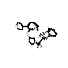 O=C(c1nc2ccccc2[nH]1)N1CCC(Oc2ncccc2C2=CCOCC2)C1